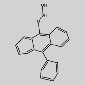 OBOc1c2ccccc2c(-c2ccccc2)c2ccccc12